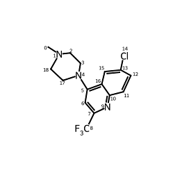 CN1CCN(c2cc(C(F)(F)F)nc3ccc(Cl)cc23)CC1